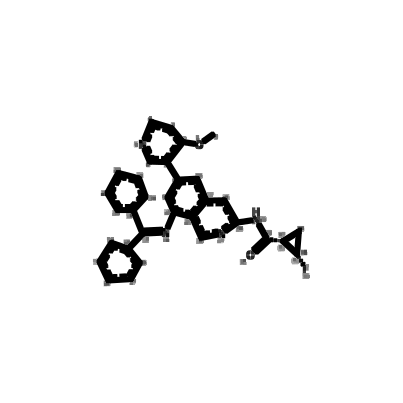 COc1ccncc1-c1cc(N=C(c2ccccc2)c2ccccc2)c2cnc(NC(=O)[C@@H]3C[C@@H]3F)cc2c1